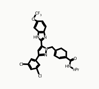 CCCNC(=O)C1=CC=C(Cn2nc(-c3cc(Cl)cc(Cl)c3)cc2-c2nc3ccc(OC(F)(F)F)cc3[nH]2)CC1